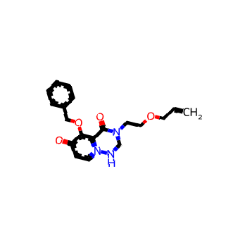 C=CCOCCN1CNn2ccc(=O)c(OCc3ccccc3)c2C1=O